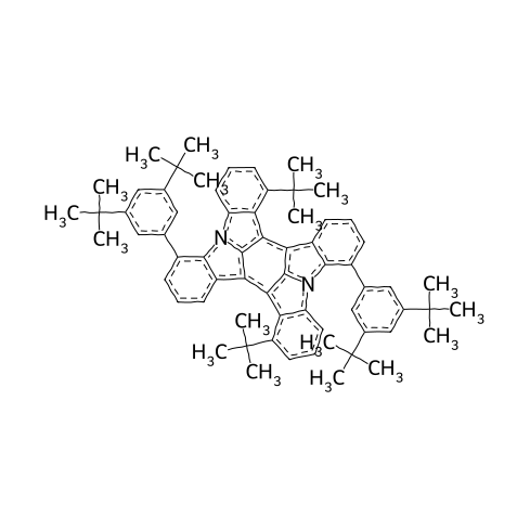 CC(C)(C)c1cc(-c2cccc3c4c5c6c(C(C)(C)C)cccc6n6c7c(-c8cc(C(C)(C)C)cc(C(C)(C)C)c8)cccc7c(c7c8c(C(C)(C)C)cccc8n(c23)c47)c56)cc(C(C)(C)C)c1